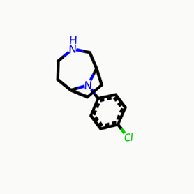 Clc1ccc(N2C3CCNCC2CC3)cc1